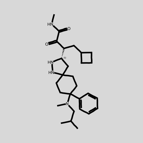 CNC(=O)C(=O)C(CC1CCC1)[C@@H]1CC2(CCC(c3ccccc3)(N(C)CC(C)C)CC2)NN1